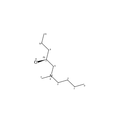 CCCCN(C)C[C@@H](Cl)CCC